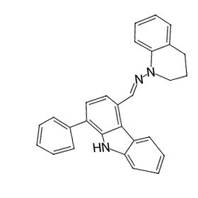 C(=NN1CCCc2ccccc21)c1ccc(-c2ccccc2)c2[nH]c3ccccc3c12